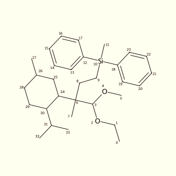 CCOC(OC)C(C)(CC[Si](C)(c1ccccc1)c1ccccc1)C1CC(C)CCC1C(C)C